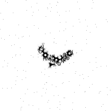 Cc1c(-c2cc3cnc(Nc4ccc(C5CN(C)CCO5)cc4)nc3n(CC3CC3)c2=O)ncn1S(=O)(=O)c1ccncc1